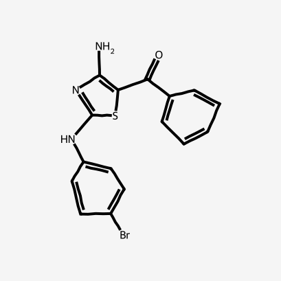 Nc1nc(Nc2ccc(Br)cc2)sc1C(=O)c1ccccc1